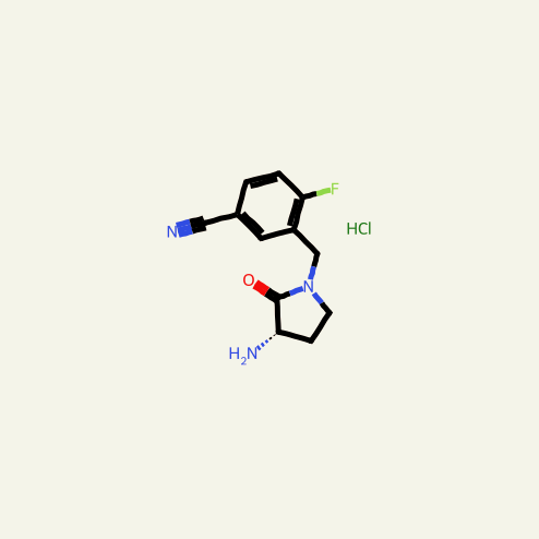 Cl.N#Cc1ccc(F)c(CN2CC[C@H](N)C2=O)c1